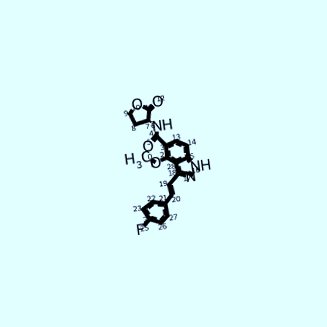 COc1c(C(=O)N[C@@H]2CCOC2=O)ccc2[nH]nc(/C=C/c3ccc(F)cc3)c12